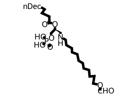 CCCCCCCCCCCCCC(=O)O[C@@H](CNCCCCCCCCCCCCOC=O)COP(=O)(O)O